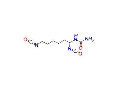 NC(=O)NC(CCCCCN=C=O)N=C=O